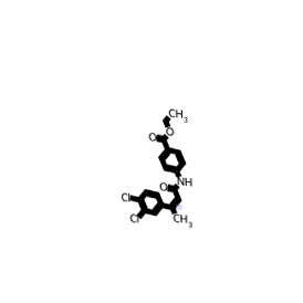 CCOC(=O)c1ccc(NC(=O)/C=C(/C)c2ccc(Cl)c(Cl)c2)cc1